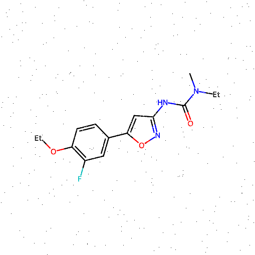 CCOc1ccc(-c2cc(NC(=O)N(C)CC)no2)cc1F